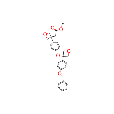 CCOC(=O)CC1(c2ccc(OC3(c4ccc(OCc5ccccc5)cc4)COC3)cc2)COC1